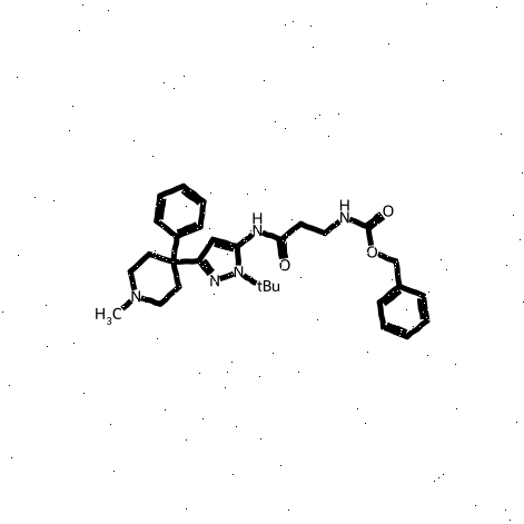 CN1CCC(c2ccccc2)(c2cc(NC(=O)CCNC(=O)OCc3ccccc3)n(C(C)(C)C)n2)CC1